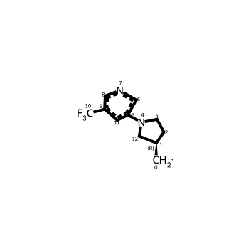 [CH2][C@@H]1CCN(c2cncc(C(F)(F)F)c2)C1